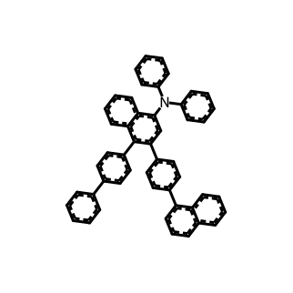 c1ccc(-c2ccc(-c3c(-c4ccc(-c5cccc6ccccc56)cc4)cc(N(c4ccccc4)c4ccccc4)c4ccccc34)cc2)cc1